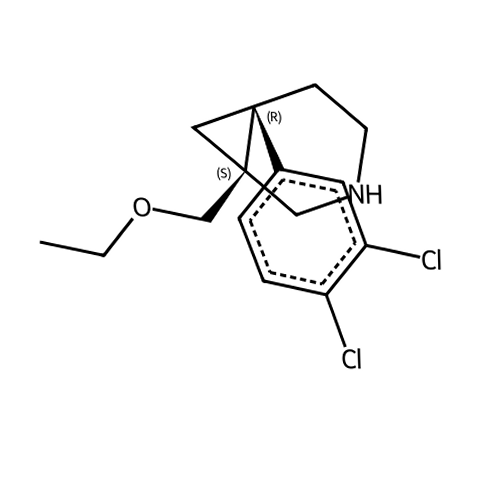 CCOC[C@]12CNCC[C@@]1(c1ccc(Cl)c(Cl)c1)C2